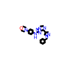 c1ccc(Cn2cc(-c3nccn4nc(Nc5ccc(N6CCOCC6)cc5)nc34)cn2)cc1